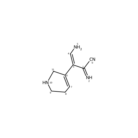 N#CC(=N)/C(=C\N)C1=CCCNC1